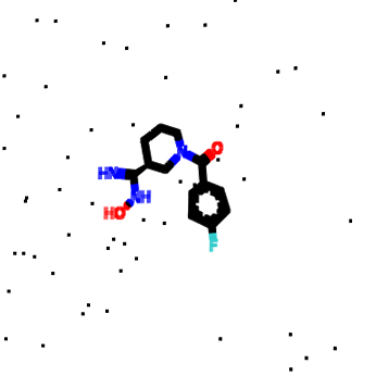 N=C(NO)[C@H]1CCCN(C(=O)c2ccc(F)cc2)C1